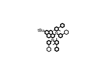 Cc1ccc(-c2ccccc2)c(C)c1N(c1cccc(C2CCCCC2)c1)c1cc(N(c2cccc(C3CCCCC3)c2)c2c(C)ccc(-c3ccccc3)c2C)c2ccc3cc(C(C)(C)C)cc4ccc1c2c43